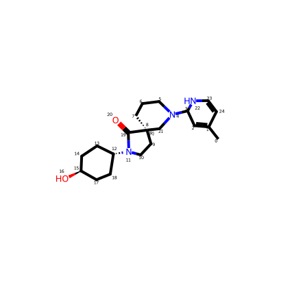 CC1=CC(N2CCC[C@@]3(CCN([C@H]4CC[C@H](O)CC4)C3=O)C2)NC=[C]1